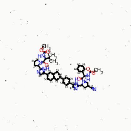 COC(=O)NC(C(=O)N1CC(C#N)CC1c1ncc(-c2ccc(-c3ccc4cc(-c5cnc(C6CCCN6C(=O)C(NC(=O)OC)C(C)C)[nH]5)ccc4c3)cc2)[nH]1)c1ccccc1